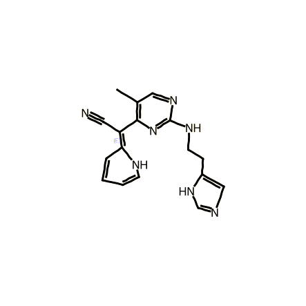 Cc1cnc(NCCc2cnc[nH]2)nc1/C(C#N)=C1/C=CC=CN1